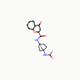 O=C(I)NC12CCC(NC(=O)c3cc(=O)c4ccccc4o3)(CC1)CC2